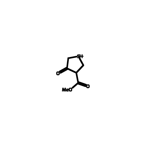 COC(=O)C1C[SH]CC1=O